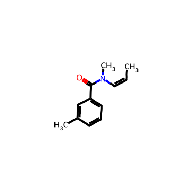 C/C=C\N(C)C(=O)c1cccc(C)c1